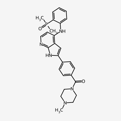 CN1CCN(C(=O)c2ccc(-c3cc4c(Nc5ccccc5P(C)(C)=O)ccnc4[nH]3)cc2)CC1